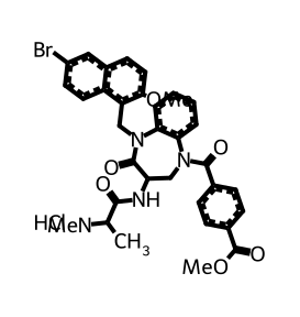 CNC(C)C(=O)NC1CN(C(=O)c2ccc(C(=O)OC)cc2)c2ccccc2N(Cc2c(OC)ccc3cc(Br)ccc23)C1=O.Cl